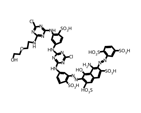 Nc1c(N=Nc2cc(S(=O)(=O)O)ccc2S(=O)(=O)O)c(S(=O)(=O)O)cc2cc(S(=O)(=O)O)c(N=Nc3cc(Nc4nc(Cl)nc(Nc5ccc(S(=O)(=O)O)c(Nc6nc(Cl)nc(NCCOCCO)n6)c5)n4)ccc3S(=O)(=O)O)c(O)c12